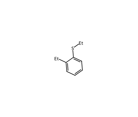 CCSc1ccccc1CC